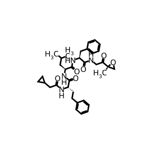 CC(C)C[C@H](NC(=O)[C@H](CCc1ccccc1)NC(=O)CC1CC1)C(=O)N[C@@H](Cc1ccccc1)C(=O)NCC(=O)[C@@]1(C)CO1